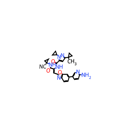 CC1(c2cc(C(=O)NC(=Cc3nc4ccc(-c5ccc(N)nc5)cc4o3)C(=O)NC3(C#N)CC3)n(C3CC3)n2)CC1